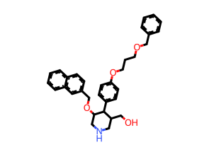 OCC1CNCC(OCc2ccc3ccccc3c2)C1c1ccc(OCCCOCc2ccccc2)cc1